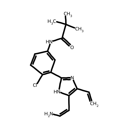 C=Cc1nc(-c2cc(NC(=O)C(C)(C)C)ccc2Cl)[nH]c1/C=C\N